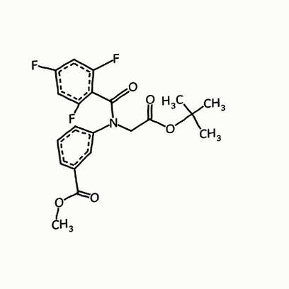 COC(=O)c1cccc(N(CC(=O)OC(C)(C)C)C(=O)c2c(F)cc(F)cc2F)c1